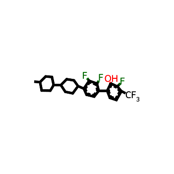 CC1CCC(C2CCC(c3ccc(-c4ccc(C(F)(F)F)c(F)c4O)c(F)c3F)CC2)CC1